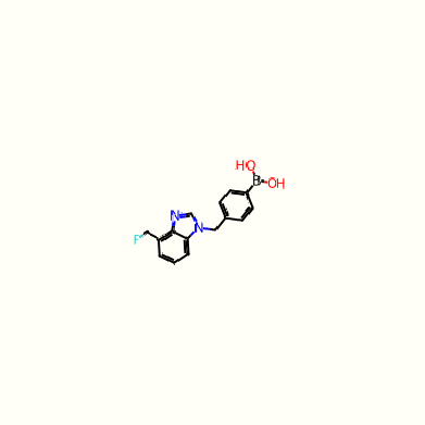 OB(O)c1ccc(Cn2cnc3c(CF)cccc32)cc1